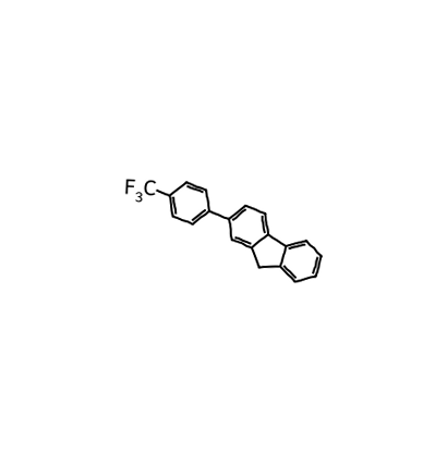 FC(F)(F)c1ccc(-c2ccc3c(c2)Cc2ccccc2-3)cc1